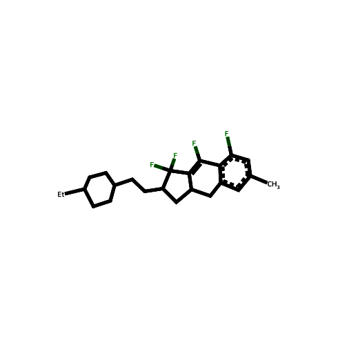 CCC1CCC(CCC2CC3Cc4cc(C)cc(F)c4C(F)=C3C2(F)F)CC1